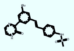 CC(C)(C)c1cc(C=Cc2ccc(NS(C)(=O)=O)cc2)cc(-c2ncc[nH]c2=O)c1